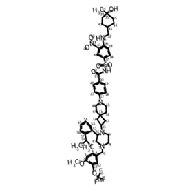 COc1ccc(CN2CCN(C3CC4(CCN(c5ccc(C(=O)NS(=O)(=O)c6ccc(NCC7CCC(C)(O)CC7)c([N+](=O)[O-])c6)cc5)CC4)C3)C(c3ccccc3C(C)C)C2)cc1OC(F)(F)F